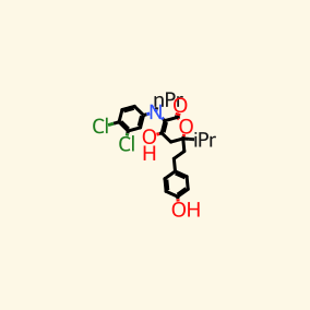 CCCN(C1=C(O)CC(CCc2ccc(O)cc2)(C(C)C)OC1=O)c1ccc(Cl)c(Cl)c1